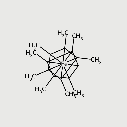 C[C]12[CH]3[C]4(C)[C]5(C)[C]1(C)[Fe]32451678[C]2(C)[C]1(C)[C]6(C)[C]7(C)[C]28C